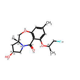 Cc1cc2c(c(O[C@H](C)CF)c1)C(=O)N1C[C@@H](O)C[C@@H]1CO2